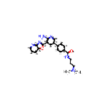 CN(C)CCCNC(=O)c1ccc(-c2cnc(N)c(-c3nc4ncccc4o3)c2)cc1